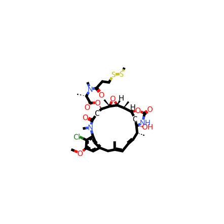 COc1cc2cc(c1Cl)N(C)C(=O)C[C@H](OC(=O)[C@H](C)N(C)C(=O)CCSSC)[C@]1(C)O[C@@H]1[C@@H](C)[C@@H]1C[C@@](O)(NC(=O)O1)[C@H](C)/C=C/C=C(\C)C2